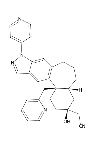 N#CC[C@]1(O)CC[C@]2(Cc3ccccn3)c3cc4cnn(-c5ccncc5)c4cc3CCC[C@@H]2C1